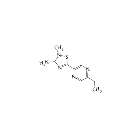 CCc1cnc(C2=NC(N)N(C)S2)cn1